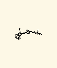 CCOC(=O)CCCCc1ccc(C#Cc2cc3c(cc2SCC)OCCC3(C)C)nc1